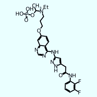 CCN(CCCOc1ccc2c(Nc3cc(CC(=O)Nc4cccc(F)c4F)[nH]n3)ncnc2c1)C(C)OP(=O)(O)O